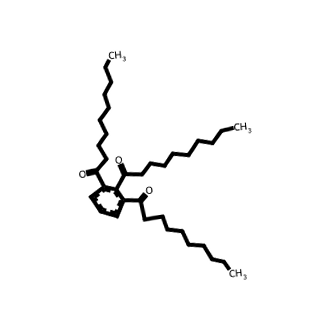 CCCCCCCCCC(=O)c1[c]ccc(C(=O)CCCCCCCCC)c1C(=O)CCCCCCCCC